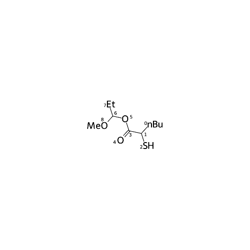 CCCCC(S)C(=O)OC(CC)OC